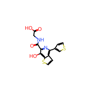 O=C(O)CNC(=O)c1nc(-c2ccsc2)c2ccsc2c1O